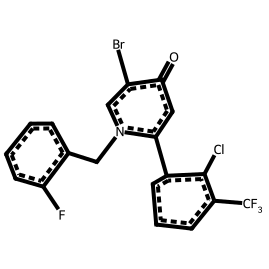 O=c1cc(-c2cccc(C(F)(F)F)c2Cl)n(Cc2ccccc2F)cc1Br